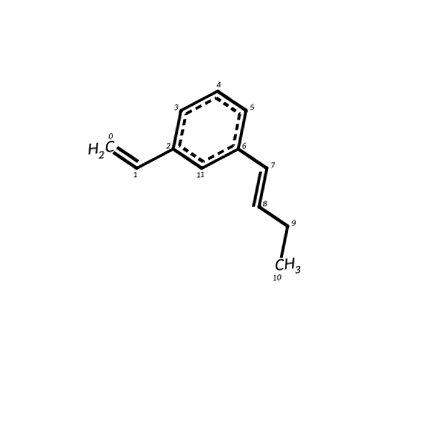 C=Cc1cccc(C=CCC)c1